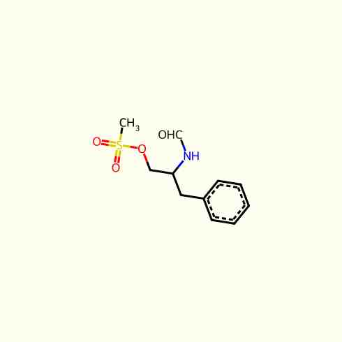 CS(=O)(=O)OCC(Cc1ccccc1)NC=O